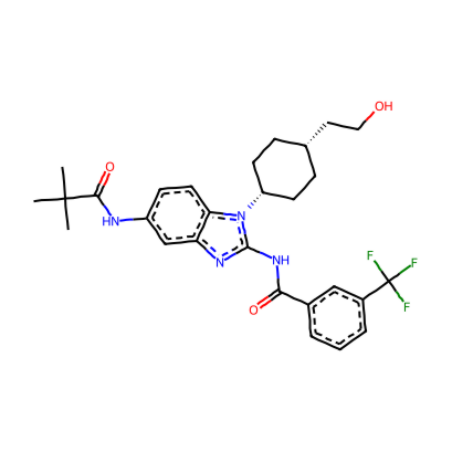 CC(C)(C)C(=O)Nc1ccc2c(c1)nc(NC(=O)c1cccc(C(F)(F)F)c1)n2[C@H]1CC[C@@H](CCO)CC1